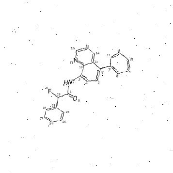 O=C(Nc1ccc(-c2ccccc2)c2cccnc12)C(F)c1ccccc1